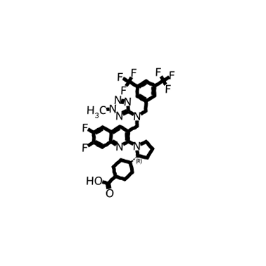 Cn1nnc(N(Cc2cc(C(F)(F)F)cc(C(F)(F)F)c2)Cc2cc3cc(F)c(F)cc3nc2N2CCC[C@@H]2C2CCC(C(=O)O)CC2)n1